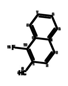 [CH]c1ccc2ccccc2c1F